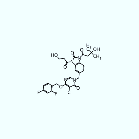 CC(C)(O)CC(=O)n1c(=O)n(C(=O)CCO)c2cc(Cn3cnc(OCc4ccc(F)cc4F)c(Cl)c3=O)ccc21